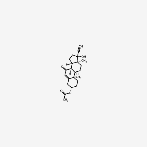 C#C[C@@]1(O)CC[C@H]2[C@@H]3C(=O)C=C4C[C@@H](OC(C)=O)CC[C@]4(C)[C@H]3CC[C@@]21C